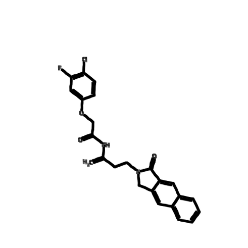 C=C(CCN1Cc2cc3ccccc3cc2C1=O)NC(=O)COc1ccc(Cl)c(F)c1